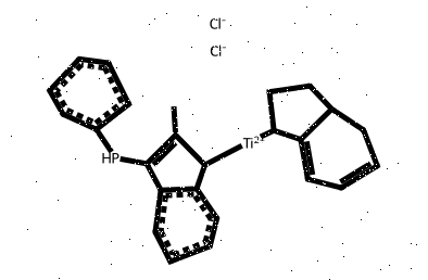 CC1=C(Pc2ccccc2)c2ccccc2[CH]1[Ti+2][CH]1CCC2CC=CC=C21.[Cl-].[Cl-]